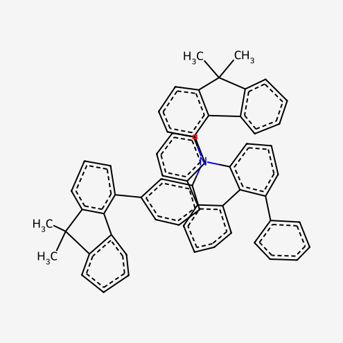 CC1(C)c2ccccc2-c2c(-c3cccc(N(c4cccc(-c5ccccc5)c4-c4ccccc4-c4ccccc4)c4cccc5c4-c4ccccc4C5(C)C)c3)cccc21